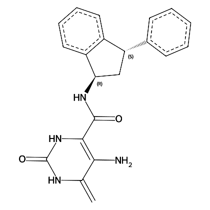 C=C1NC(=O)NC(C(=O)N[C@@H]2C[C@@H](c3ccccc3)c3ccccc32)=C1N